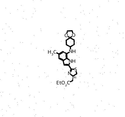 CCOC(=O)C[C@@H]1CSC(c2cc3cc(C)cc(NC4CCC5(CC4)OCCO5)c3[nH]2)=N1